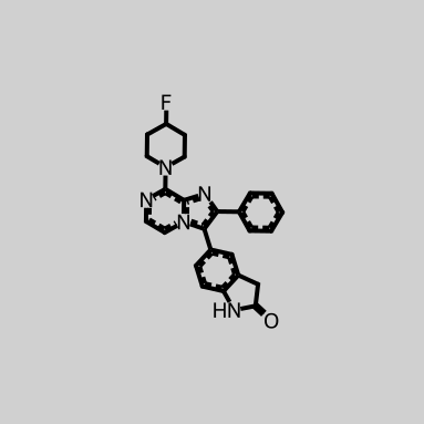 O=C1Cc2cc(-c3c(-c4ccccc4)nc4c(N5CCC(F)CC5)nccn34)ccc2N1